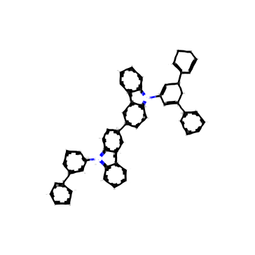 C1=CC(C2C=C(n3c4ccccc4c4cc(-c5ccc6c(c5)c5ccccc5n6-c5cccc(-c6ccccc6)c5)ccc43)C=C(c3ccccc3)C2)=CCC1